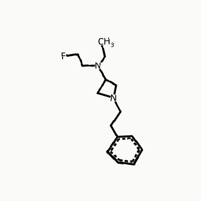 CCN(CCF)C1CN(CCc2ccccc2)C1